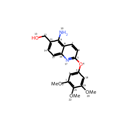 COc1cc(Oc2ccc3c(N)c(CO)ccc3n2)cc(OC)c1OC